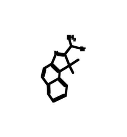 BC(Br)C1=Nc2ccc3ccccc3c2C1(C)C